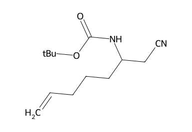 C=CCCCC(CC#N)NC(=O)OC(C)(C)C